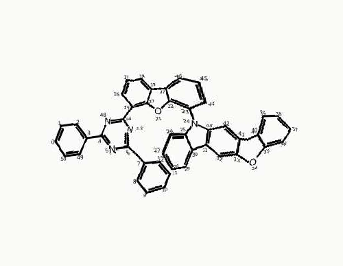 c1ccc(-c2nc(-c3ccccc3)nc(-c3cccc4c3oc3c(-n5c6ccccc6c6cc7oc8ccccc8c7cc65)cccc34)n2)cc1